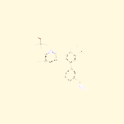 CC(C)(Oc1nc(Oc2cc(-c3cccc(CN)c3)cc(C(F)(F)F)c2)c(F)cc1F)C(=O)O